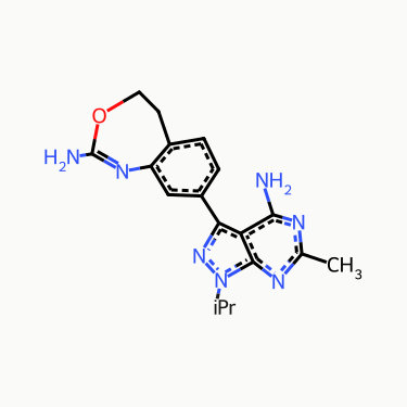 Cc1nc(N)c2c(-c3ccc4c(c3)N=C(N)OCC4)nn(C(C)C)c2n1